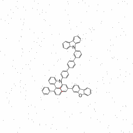 c1ccc(-c2ccccc2-c2ccccc2N(c2ccc(-c3ccc(-c4cccc(-n5c6ccccc6c6ccccc65)c4)cc3)cc2)c2cccc(-c3ccc4c(c3)oc3ccccc34)c2)cc1